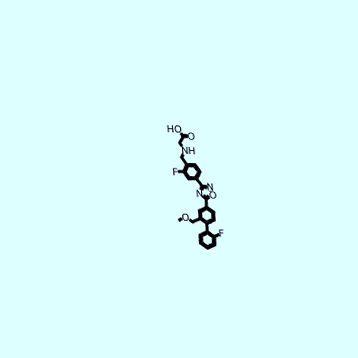 COCc1cc(-c2nc(-c3ccc(CNCC(=O)O)c(F)c3)no2)ccc1-c1ccccc1F